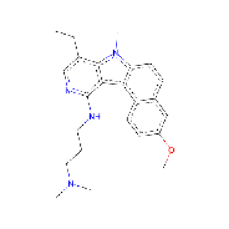 CCc1cnc(NCCCN(C)C)c2c3c4ccc(OC)cc4ccc3n(C)c12